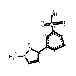 CN1C=CC(c2cccc(S(=O)(=O)O)c2)O1